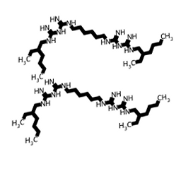 CCCCC(CC)CNC(=N)NC(=N)NCCCCCCNC(=N)NC(=N)NCC(CC)CCCC.CCCCC(CC)CNC(=N)NC(=N)NCCCCCCNC(=N)NC(=N)NCC(CC)CCCC